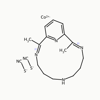 C/C1=N/CCCNCCC/N=C(\C)c2cccc1n2.N#C[S-].N#C[S-].[Co+2]